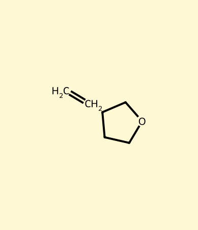 C1CCOC1.C=C